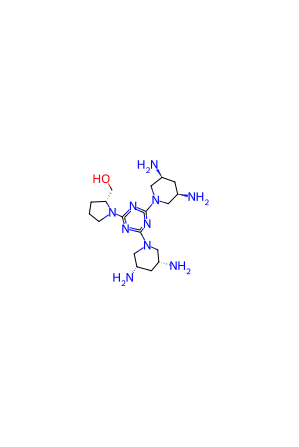 N[C@@H]1C[C@H](N)CN(c2nc(N3C[C@H](N)C[C@H](N)C3)nc(N3CCC[C@@H]3CO)n2)C1